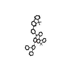 CC1(C)c2ccccc2-c2ccc(-c3cccc(N(c4ccc(-c5ccc(-c6ccccc6)c(-c6ccccc6)c5)cc4)c4ccccc4-c4cccc5c4-c4ccccc4C5(C)C)c3)cc21